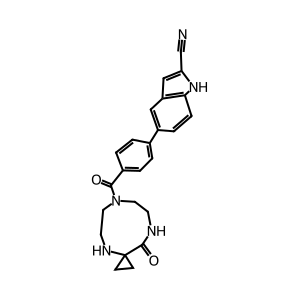 N#Cc1cc2cc(-c3ccc(C(=O)N4CCNC(=O)C5(CC5)NCC4)cc3)ccc2[nH]1